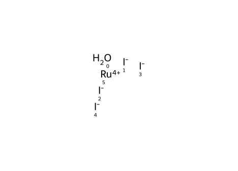 O.[I-].[I-].[I-].[I-].[Ru+4]